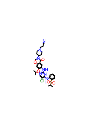 CC(C)Oc1cc2c(cc1Nc1ncc(Cl)c(Nc3ccccc3S(=O)(=O)C(C)C)n1)C(=O)N(C1CCN(CCC#N)CC1)CO2